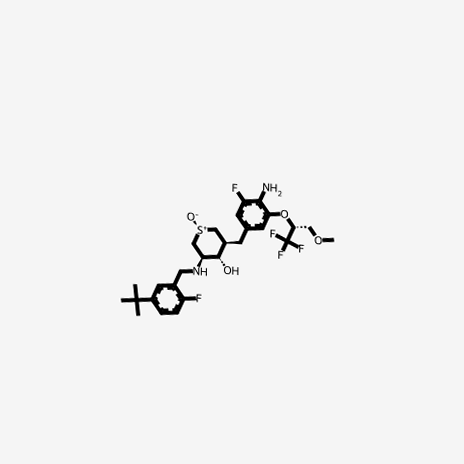 COC[C@@H](Oc1cc(C[C@@H]2C[S@@+]([O-])C[C@H](NCc3cc(C(C)(C)C)ccc3F)[C@H]2O)cc(F)c1N)C(F)(F)F